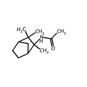 CC(=O)NC1(C)C2CCC(C2)C1(C)C